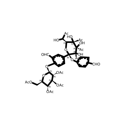 CC(=O)OC[C@H]1O[C@@H](Oc2ccc([C@]3(Oc4ccc(C=O)cc4)O[C@@H](C(O)C(C)=O)[C@@](O)(C(C)=O)[C@](O)(C(C)=O)[C@@]3(O)C(C)=O)cc2C=O)[C@H](OC(C)=O)[C@@H](OC(C)=O)[C@@H]1OC(C)=O